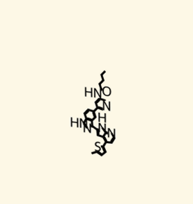 CCCCC(=O)Nc1cncc(-c2ccc3[nH]nc(-c4cc5c(-c6ccc(C)s6)ccnc5[nH]4)c3c2)c1